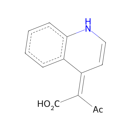 CC(=O)C(C(=O)O)=C1C=CNc2ccccc21